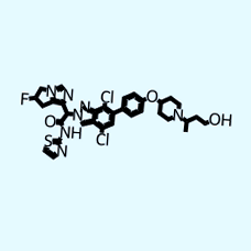 CC(CCO)N1CCC(Oc2ccc(-c3cc(Cl)c4cn(C(C(=O)Nc5nccs5)c5ncn6c5CC(F)C6)nc4c3Cl)cc2)CC1